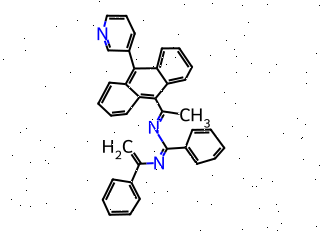 C=C(/N=C(\N=C(/C)c1c2ccccc2c(-c2cccnc2)c2ccccc12)c1ccccc1)c1ccccc1